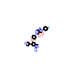 Cc1c(C(=O)Nc2ccc(Oc3cc4cn[nH]c4cc3-c3ccncc3)c(F)c2)c(=O)n(-c2ccc(F)cc2)n1C